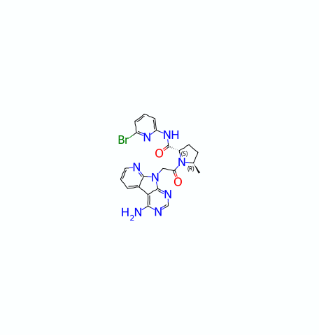 C[C@@H]1CC[C@@H](C(=O)Nc2cccc(Br)n2)N1C(=O)Cn1c2ncccc2c2c(N)ncnc21